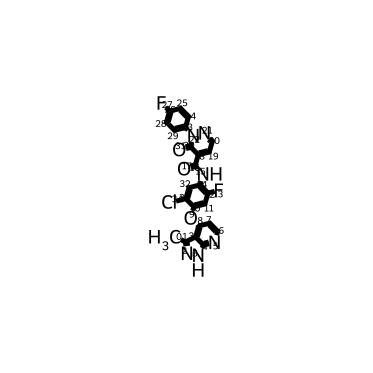 Cc1n[nH]c2nccc(Oc3cc(F)c(NC(=O)c4ccnn(-c5ccc(F)cc5)c4=O)cc3Cl)c12